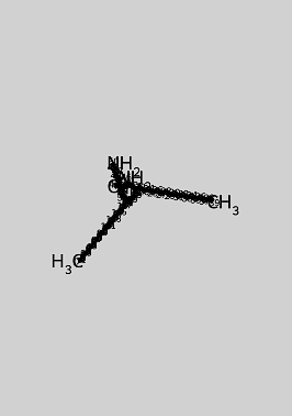 CCCCCCCCCCCCCCCCCCN1CCN(CCCCCCCCCCCCCCCCCC)CCN(C(=O)[C@H](N)CCCN)CC1